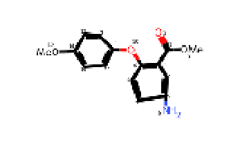 COC(=O)c1cc(N)ccc1Oc1ccc(OC)cc1